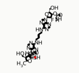 C[C@@H]1O[C@H]2[C@H](n3cnc4c(NC/C=C/CNc5ncnc6c5ncn6[C@@H]5O[C@H](CO)[C@@H](O[PH](=O)S)[C@H]5F)ncnc43)O[C@]1(CO)[C@H]2O[PH](=O)S